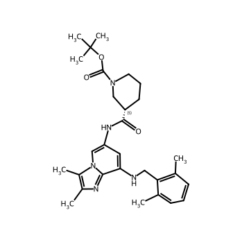 Cc1cccc(C)c1CNc1cc(NC(=O)[C@H]2CCCN(C(=O)OC(C)(C)C)C2)cn2c(C)c(C)nc12